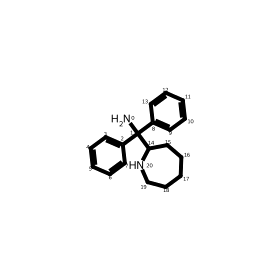 NC(c1ccccc1)(c1ccccc1)C1CCCCCN1